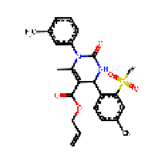 C=CCOC(=O)C1=C(C)N(c2cccc(C(F)(F)F)c2)C(=O)NC1c1ccc(C#N)cc1S(=O)(=O)C(C)C